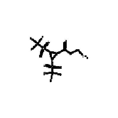 CCOC(=O)C1C(S(=O)(=O)C(F)(F)F)C1S(=O)(=O)C(F)(F)F